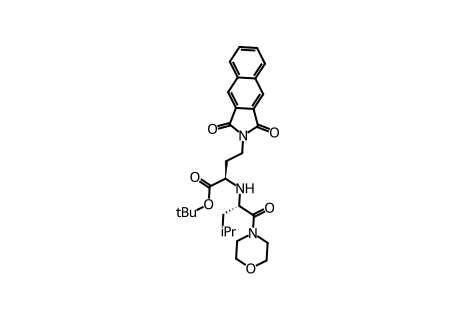 CC(C)C[C@H](N[C@H](CCN1C(=O)c2cc3ccccc3cc2C1=O)C(=O)OC(C)(C)C)C(=O)N1CCOCC1